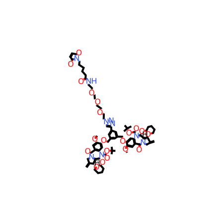 C=C1C[C@H]2C(OC3CCCCO3)N(C(=O)OC(C)(C)C)c3cc(OCc4cc(COc5cc6c(cc5OC)C(=O)N5CC(=C)C[C@H]5[C@H](OC5CCCCO5)N6C(=O)OC(C)(C)C)cc(-c5cn(CCOCCOCCOCCNC(=O)CCCCCN6C(=O)C=CC6=O)nn5)c4)c(OC)cc3C(=O)N2C1